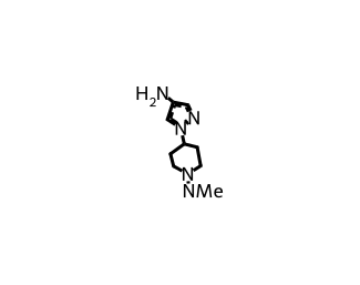 CNN1CCC(n2cc(N)cn2)CC1